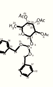 CC(=O)OC1[C@@H](OP(OCc2ccccc2)OCc2ccccc2)OC(C)[C@H](OC(C)=O)[C@@H]1OC(C)=O